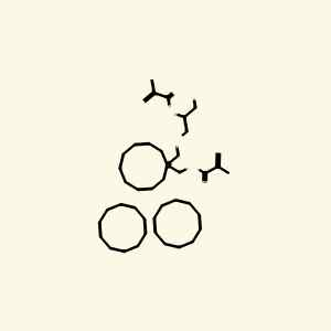 C1CCCCCCCCC1.C1CCCCCCCCC1.C=C(C)C(=O)OCC1(COCC(CO)OC(=O)C(=C)C)CCCCCCCCC1